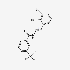 O=C(N/N=C/c1cccc(Br)c1O)c1cccc(C(F)(F)F)c1